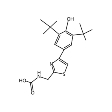 CC(C)(C)c1cc(-c2csc(CNC(=O)O)n2)cc(C(C)(C)C)c1O